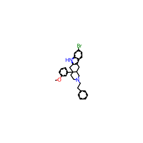 COc1cccc(C23CCN(CCc4ccccc4)CC2Cc2c([nH]c4cc(Br)ccc24)C3)c1